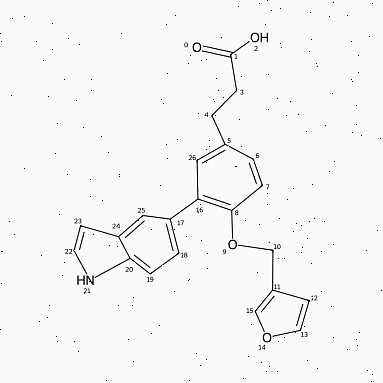 O=C(O)CCc1ccc(OCc2ccoc2)c(-c2ccc3[nH]ccc3c2)c1